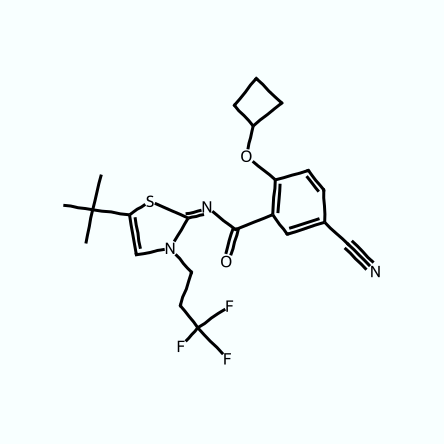 CC(C)(C)c1cn(CCC(F)(F)F)c(=NC(=O)c2cc(C#N)ccc2OC2CCC2)s1